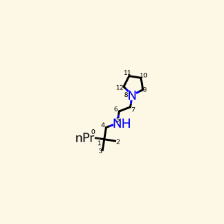 CCCC(C)(C)CNCCN1CCCC1